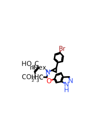 CCCCCCN(C(C)Oc1ccc2cn[nH]c2c1)C1CC1c1ccc(Br)cc1.O=C(O)C=CC(=O)O